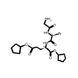 CC(C)[C@H](NC(=O)CN)C(=O)N[C@H](CCC(=O)OC1CCCC1)C(=O)OC1CCCC1